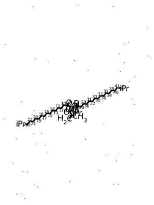 C=C(C)[C](=O)[Ti](=[O])([O]C(=O)CCCCCCCCCCCCCCC(C)C)([O]C(=O)CCCCCCCCCCCCCCC(C)C)[CH](C)C